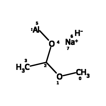 COC(C)[O][Al].[H-].[Na+]